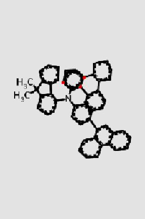 CC1(C)c2ccccc2-c2c(N(c3ccc(-c4cc5ccccc5c5ccccc45)cc3)c3ccccc3-c3ccccc3-c3ccccc3-c3ccccc3)cccc21